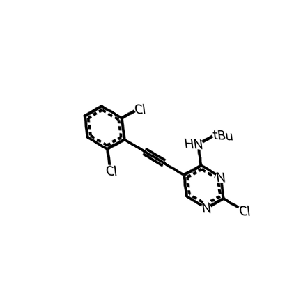 CC(C)(C)Nc1nc(Cl)ncc1C#Cc1c(Cl)cccc1Cl